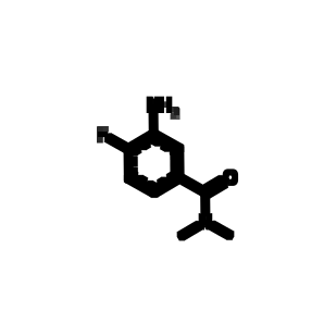 CN(C)C(=O)c1ccc(F)c(N)c1